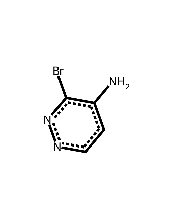 Nc1ccnnc1Br